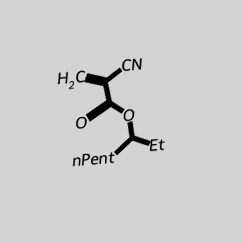 C=C(C#N)C(=O)OC(CC)CCCCC